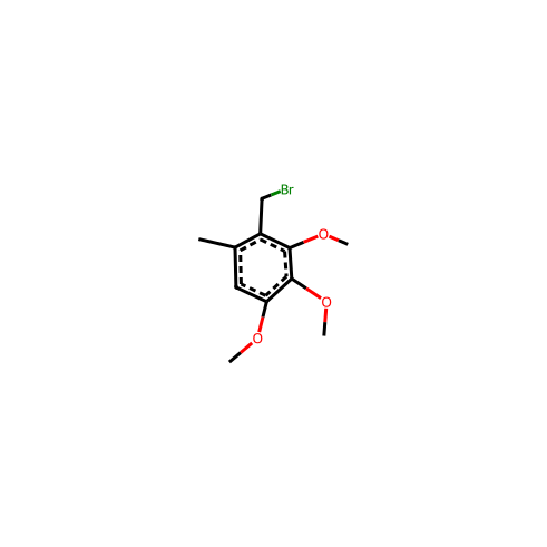 COc1cc(C)c(CBr)c(OC)c1OC